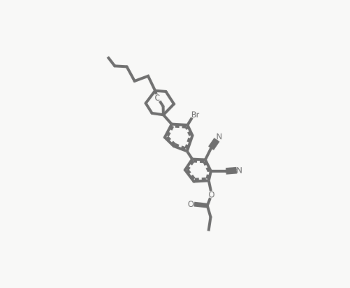 CCCCCC12CCC(c3ccc(-c4ccc(OC(=O)CC)c(C#N)c4C#N)cc3Br)(CC1)CC2